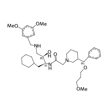 COCCCO[C@@H](c1ccccc1)C1CCCN(CC(=O)N[C@@H](CC2CCCCC2)[C@H](O)CNCc2cc(OC)cc(OC)c2)C1